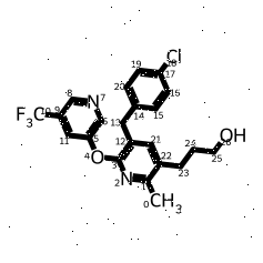 Cc1nc(Oc2cncc(C(F)(F)F)c2)c(Cc2ccc(Cl)cc2)cc1CCCO